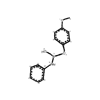 COc1ccc(OB(O)Nc2ccccc2)cc1